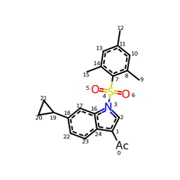 CC(=O)c1cn(S(=O)(=O)c2c(C)cc(C)cc2C)c2cc(C3CC3)ccc12